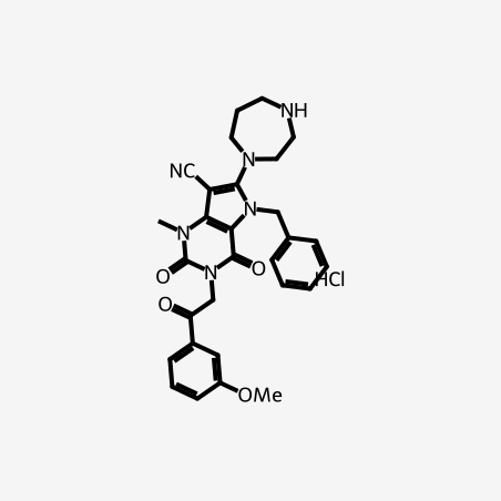 COc1cccc(C(=O)Cn2c(=O)c3c(c(C#N)c(N4CCCNCC4)n3Cc3ccccc3)n(C)c2=O)c1.Cl